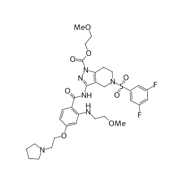 COCCNc1cc(OCCN2CCCC2)ccc1C(=O)Nc1nn(C(=O)OCCOC)c2c1CN(S(=O)(=O)c1cc(F)cc(F)c1)CC2